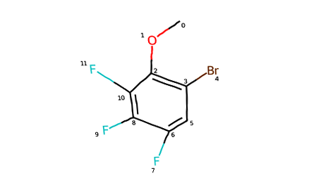 COc1c(Br)cc(F)c(F)c1F